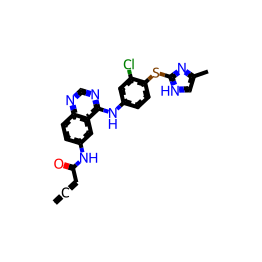 C=C=CC(=O)Nc1ccc2ncnc(Nc3ccc(Sc4nc(C)c[nH]4)c(Cl)c3)c2c1